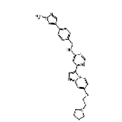 Cn1cc(-c2ccc(CNc3cc(-c4cnc5cc(OCCN6CCCC6)ccn45)ncn3)cc2)cn1